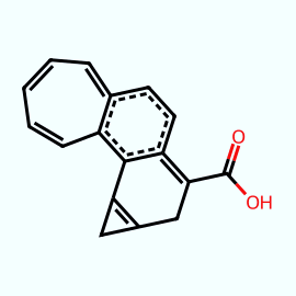 O=C(O)C1=c2ccc3c(c2C2=C(C2)C1)C=CC=CC=3